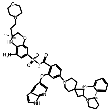 CC(C)c1ccccc1[C@@H]1CCCN1C1CC2(CCN(c3ccc(C(=O)NS(=O)(=O)c4cc(N)c5c(c4)OC[C@](C)(CCN4CCOCC4)N5)c(Oc4cnc5[nH]ccc5c4)c3)CC2)C1